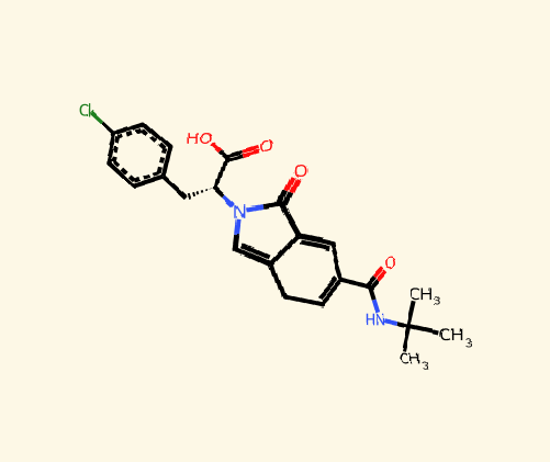 CC(C)(C)NC(=O)C1=CCC2=CN([C@H](Cc3ccc(Cl)cc3)C(=O)O)C(=O)C2=C1